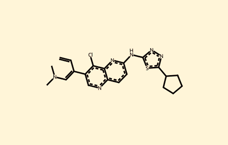 C=C/C(=C\N(C)C)c1cnc2ccc(Nc3nnc(C4CCCC4)s3)nc2c1Cl